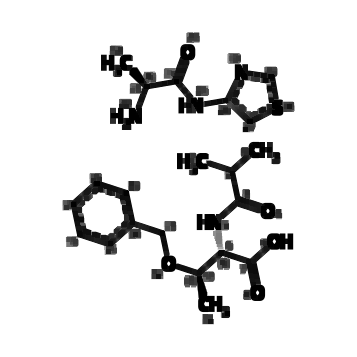 CC(C)C(=O)N[C@H](C(=O)O)[C@@H](C)OCc1ccccc1.C[C@H](N)C(=O)Nc1cscn1